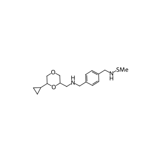 CSNCc1ccc(CNCC2COCC(C3CC3)O2)cc1